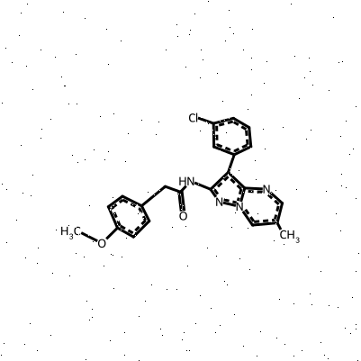 COc1ccc(CC(=O)Nc2nn3cc(C)cnc3c2-c2cccc(Cl)c2)cc1